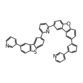 c1cncc(-c2cccc(-c3ccc4oc5ccc(-c6cccc(-c7ccc8sc9ccc(-c%10cccnc%10)cc9c8c7)n6)cc5c4c3)c2)c1